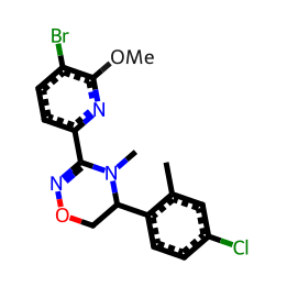 COc1nc(C2=NOCC(c3ccc(Cl)cc3C)N2C)ccc1Br